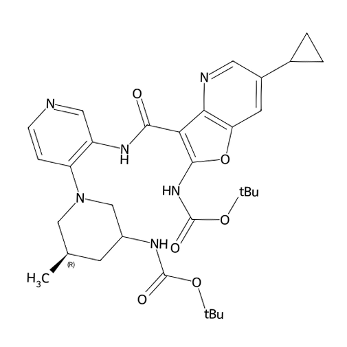 C[C@@H]1CC(NC(=O)OC(C)(C)C)CN(c2ccncc2NC(=O)c2c(NC(=O)OC(C)(C)C)oc3cc(C4CC4)cnc23)C1